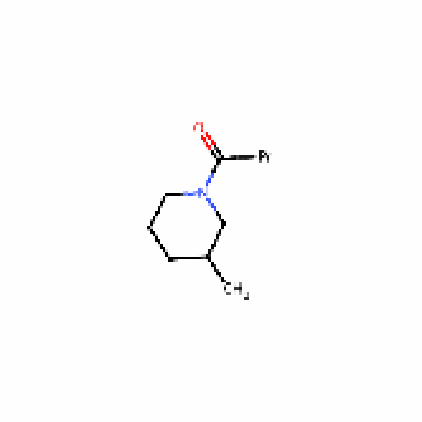 CC1CCCN(C(=O)C(C)C)C1